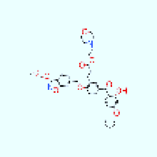 COCOc1noc2cc(COc3ccc(C(=O)c4ccc(OC5CCCC5)cc4O)cc3CCC(=O)OCCN3CCOCC3)ccc12